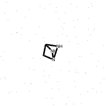 C1C2NN1N2